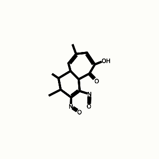 CC1=CC2C(C(=O)C(O)=C1)C(N=O)=C(N=O)C(C)C2C